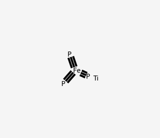 [P]#[Fe](#[P])#[P].[Ti]